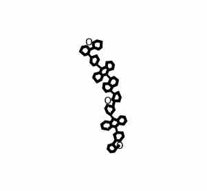 c1ccc2c(c1)oc1ccc(-c3c4ccccc4c(-c4ccc5oc6c(-c7cccc8c(-c9c%10ccccc%10c(-c%10ccc(-c%11cccc%12oc%13ccccc%13c%11%12)cc%10)c%10ccccc9%10)cccc78)cccc6c5c4)c4ccccc34)cc12